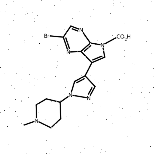 CN1CCC(n2cc(-c3cn(C(=O)O)c4ncc(Br)nc34)cn2)CC1